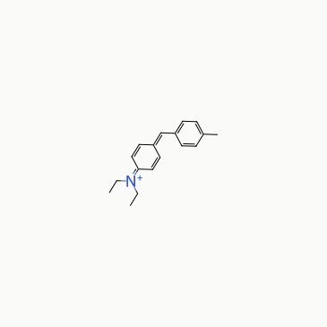 CC[N+](CC)=C1C=CC(=Cc2ccc(C)cc2)C=C1